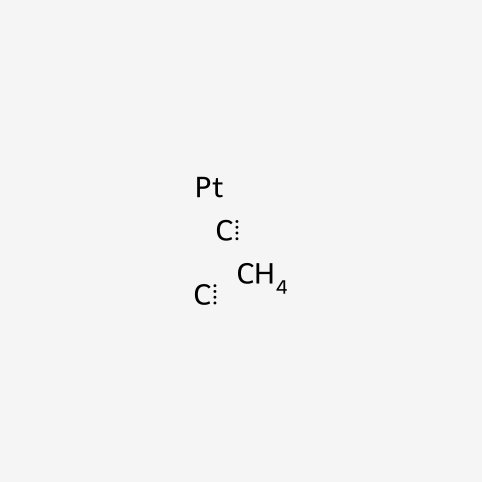 C.[C].[C].[Pt]